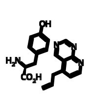 C=CCc1ccnc2ncncc12.N[C@@H](Cc1ccc(O)cc1)C(=O)O